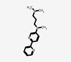 CN(C)CCCN(C)c1ccc(-c2ccccn2)nc1